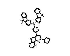 CC1(C)c2ccccc2-c2cc(N(c3ccc(-c4cc(-c5ccccc5)nc5c4ccc4cccnc45)cc3)c3ccc4c(c3)-c3ccccc3C4(C)C)ccc21